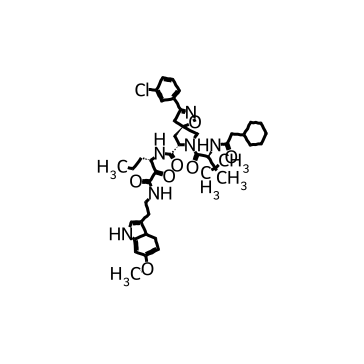 CCC[C@H](NC(=O)[C@@H]1C[C@]2(CC(c3cccc(Cl)c3)=NO2)CN1C(=O)[C@@H](NC(=O)CC1CCCCC1)C(C)(C)C)C(=O)C(=O)NCCC1=CNC2=CC(OC)=CCC12